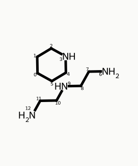 C1CCNCC1.NCCNCCN